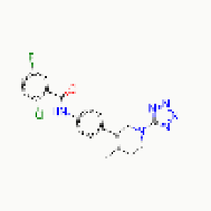 CC1=C(c2ccc(NC(=O)c3cc(F)ccc3Cl)cc2)CN(c2nnn(C)n2)CC1